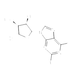 CC[C@H]1O[C@@H](n2cnc3c(C)nc(I)nc32)[C@H](C)[C@@H]1C